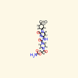 CC(C)(OC(N)=O)C(=O)N1CCN(C(=O)Nc2ccn(C3=CCC(C=O)CC3)c(=O)n2)CC1